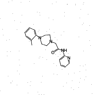 Cc1ccccc1N1CCN(CC(=O)Nc2ccccn2)CC1